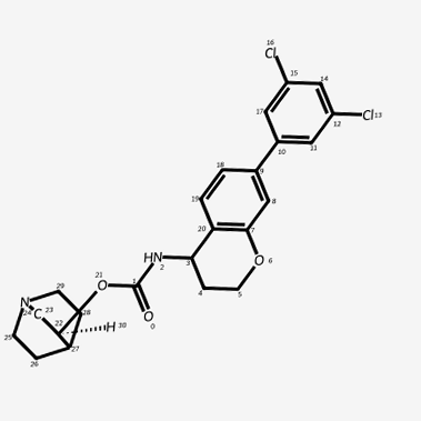 O=C(NC1CCOc2cc(-c3cc(Cl)cc(Cl)c3)ccc21)O[C@@H]1CN2CCC1CC2